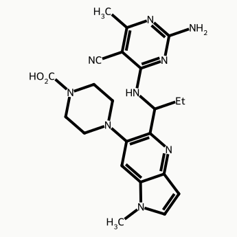 CCC(Nc1nc(N)nc(C)c1C#N)c1nc2ccn(C)c2cc1N1CCN(C(=O)O)CC1